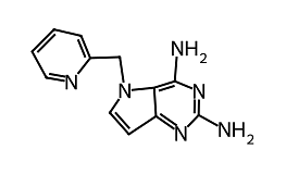 Nc1nc(N)c2c(ccn2Cc2ccccn2)n1